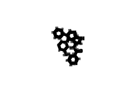 NC1CCCN(c2c(-c3ccccc3)cnc3[nH]cc(NC(=O)c4cccnc4)c23)C1